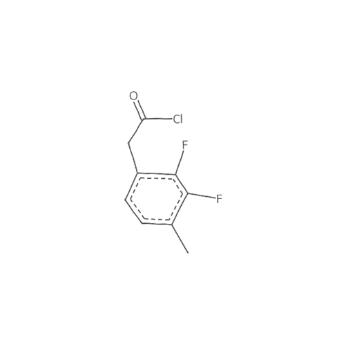 Cc1ccc(CC(=O)Cl)c(F)c1F